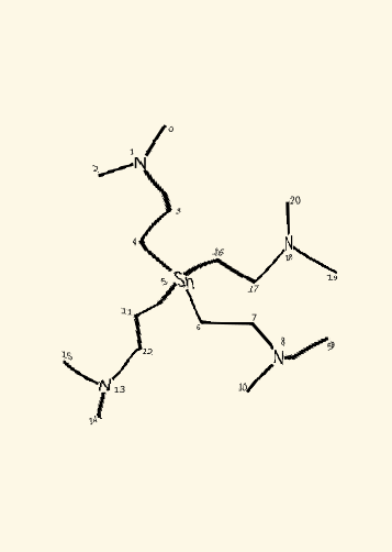 CN(C)C[CH2][Sn]([CH2]CN(C)C)([CH2]CN(C)C)[CH2]CN(C)C